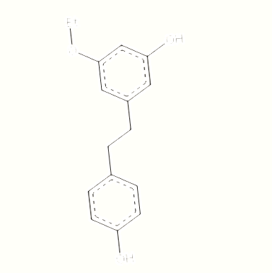 CCOc1cc(O)cc(CCc2ccc(O)cc2)c1